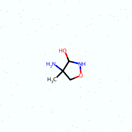 CC1(N)CONC1O